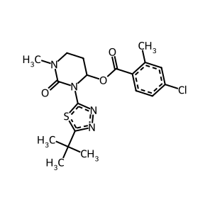 Cc1cc(Cl)ccc1C(=O)OC1CCN(C)C(=O)N1c1nnc(C(C)(C)C)s1